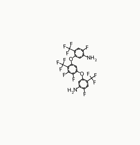 Nc1cc(Oc2cc(Oc3cc(N)c(F)cc3C(F)(F)F)c(C(F)(F)F)c(F)c2F)c(C(F)(F)F)cc1F